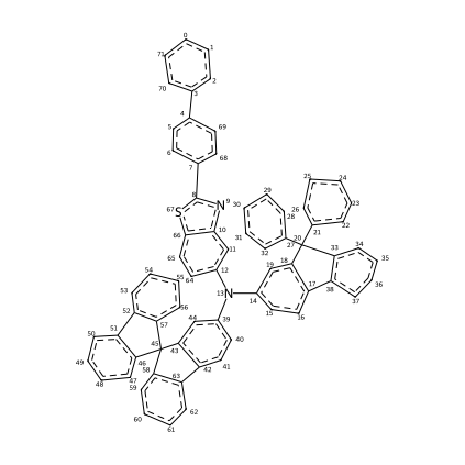 c1ccc(-c2ccc(-c3nc4cc(N(c5ccc6c(c5)C(c5ccccc5)(c5ccccc5)c5ccccc5-6)c5ccc6c(c5)C5(c7ccccc7-c7ccccc75)c5ccccc5-6)ccc4s3)cc2)cc1